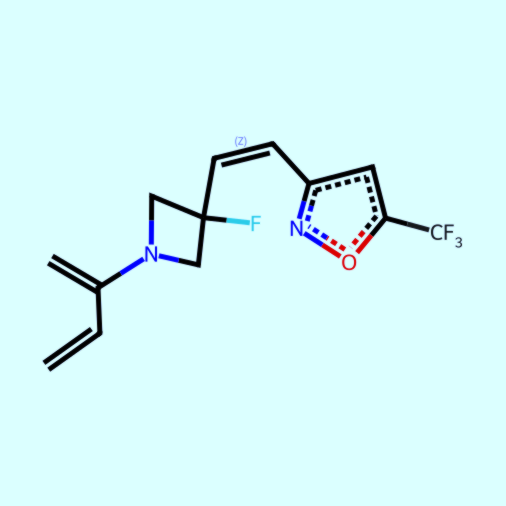 C=CC(=C)N1CC(F)(/C=C\c2cc(C(F)(F)F)on2)C1